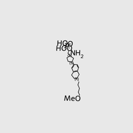 COCCCCC[C@@H]1CCc2cc([C@H]3CC[C@@](N)(COP(=O)(O)O)C3)ccc2C1